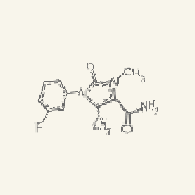 Cc1c(C(N)=O)n(C)c(=O)n1-c1cccc(F)c1